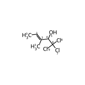 C/C=C(\C)C(O)C(Cl)(Cl)Cl